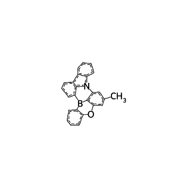 Cc1cc2c3c(c1)-n1c4ccccc4c4cccc(c41)B3c1ccccc1O2